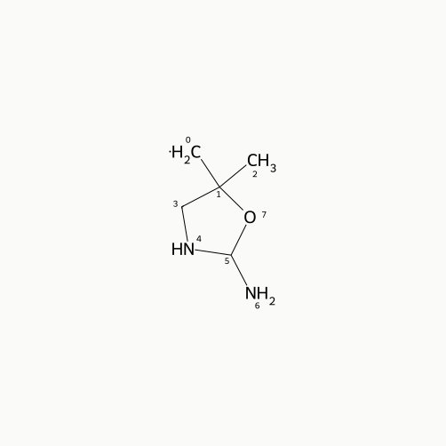 [CH2]C1(C)CNC(N)O1